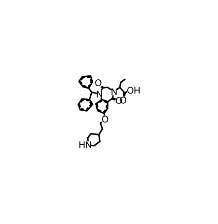 CCC(C(=O)O)N1CC(=O)N(C(c2ccccc2)c2ccccc2)c2ccc(OCCC3CCNCC3)cc2C1=O